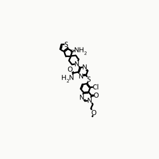 COCCn1cnc2ccc(Sc3cnc(N4CCC5(CC4)Cc4ccsc4[C@H]5N)c(C(N)=O)n3)c(Cl)c2c1=O